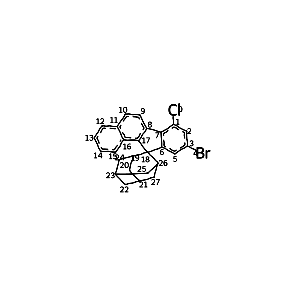 Clc1cc(Br)cc2c1-c1ccc3ccccc3c1C21C2CC3CC(C2)CC1C3